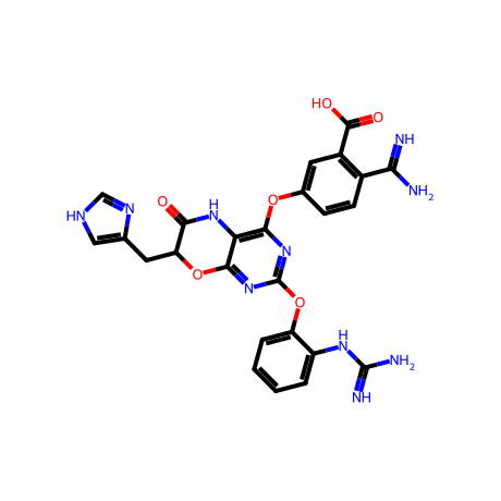 N=C(N)Nc1ccccc1Oc1nc(Oc2ccc(C(=N)N)c(C(=O)O)c2)c2c(n1)OC(Cc1c[nH]cn1)C(=O)N2